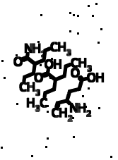 C=CC(N)CCC(=O)O.CCCC(CCC)C(=O)O.CCCC(CCC)C(N)=O